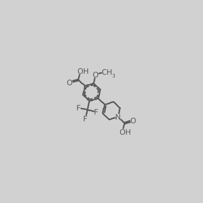 COc1cc(C2=CCN(C(=O)O)CC2)c(C(F)(F)F)cc1C(=O)O